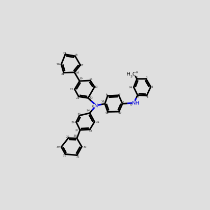 Cc1cccc(Nc2ccc(N(c3ccc(-c4ccccc4)cc3)c3ccc(-c4ccccc4)cc3)cc2)c1